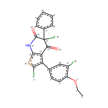 CCOc1ccc(-c2c(F)sc3c2C(=O)C(F)(c2ccccc2)C(=O)N3)cc1F